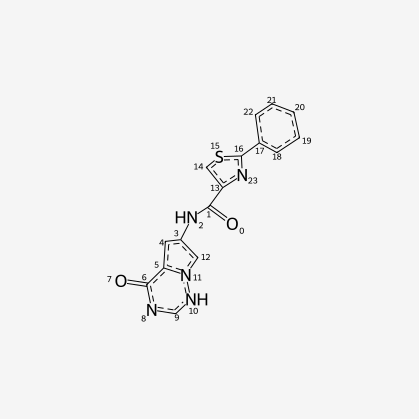 O=C(Nc1cc2c(=O)nc[nH]n2c1)c1csc(-c2ccccc2)n1